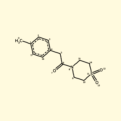 Cc1ccc(CC(=O)N2CCS(=O)(=O)CC2)cc1